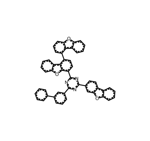 c1ccc(-c2cccc(-c3nc(-c4ccc5c(c4)oc4ccccc45)nc(-c4ccc(-c5cccc6oc7ccccc7c56)c5c4oc4ccccc45)n3)c2)cc1